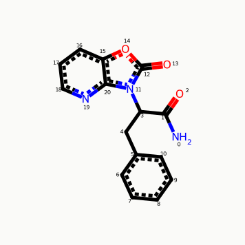 NC(=O)C(Cc1ccccc1)n1c(=O)oc2cccnc21